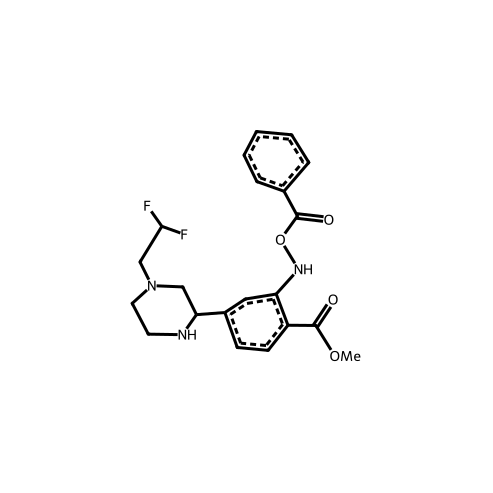 COC(=O)c1ccc(C2CN(CC(F)F)CCN2)cc1NOC(=O)c1ccccc1